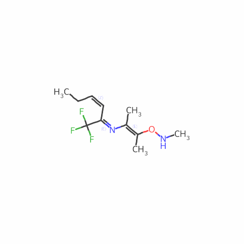 CC\C=C/C(=N\C(C)=C(/C)ONC)C(F)(F)F